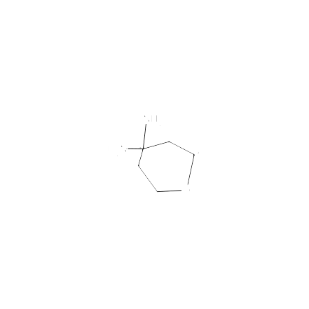 NC1(N)CCOCC1